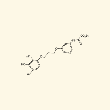 CCCc1c(OCCCOc2cccc(NC(=O)C(=O)OCC)c2)ccc(C(C)=O)c1O